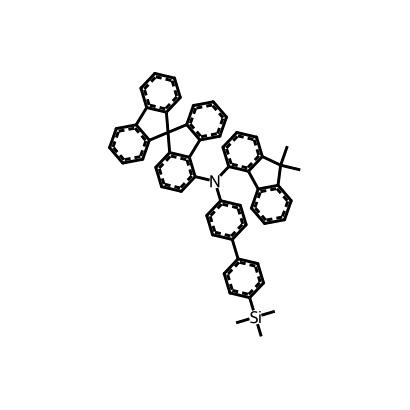 CC1(C)c2ccccc2-c2c(N(c3ccc(-c4ccc([Si](C)(C)C)cc4)cc3)c3cccc4c3-c3ccccc3C43c4ccccc4-c4ccccc43)cccc21